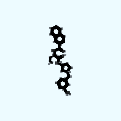 CC(C)C[C@H](NC(=O)c1ccc2ccccc2c1)C(=O)N[C@H]1CCN(Cc2cccc([N+](=O)[O-])c2)C1